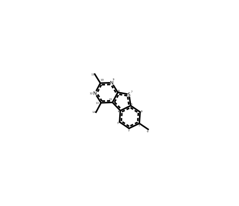 Cc1ccc2c(c1)sc1nc(C)nc(C)c12